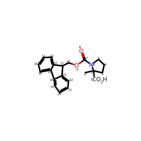 CC1(C(=O)O)CCCN1C(=O)OCC1c2ccccc2-c2ccccc21